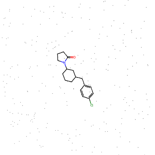 O=C1CCCN1C1CCCC(Cc2ccc(Cl)cc2)C1